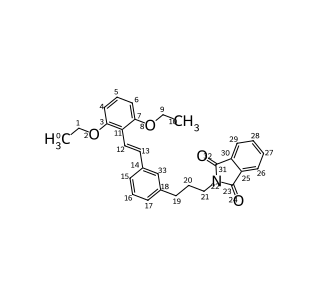 CCOc1cccc(OCC)c1/C=C/c1cccc(CCCN2C(=O)c3ccccc3C2=O)c1